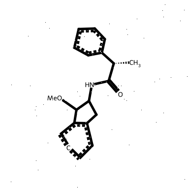 COC1c2ccccc2CC1NC(=O)[C@@H](C)c1ccccc1